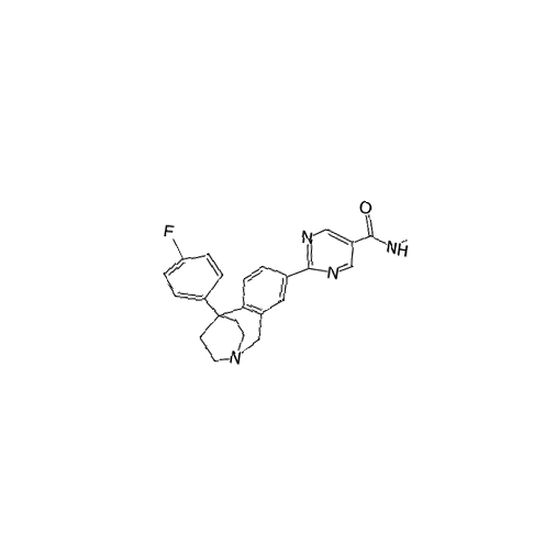 CNC(=O)c1cnc(-c2ccc3c(c2)CN2CCC3(c3ccc(F)cc3)CC2)nc1